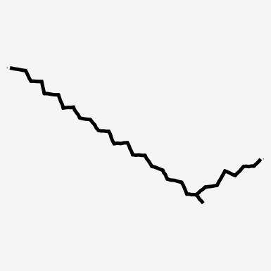 [CH2]CCCCCCCCCCCCCCCCCCCCC(C)CCCCCC[CH2]